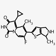 Cc1c(-c2cc3c(s2)C(C)NC3)c(F)cn2c(=O)[nH]c(=O)c(C3CC3)c12